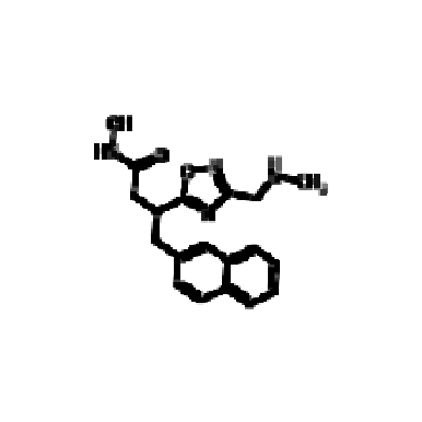 CNCc1noc(C(CC(=O)NO)Cc2ccc3ccccc3c2)n1